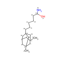 CC12CC3CC(C)(C1)CC(CCCCCC(N)O)(C3)C2